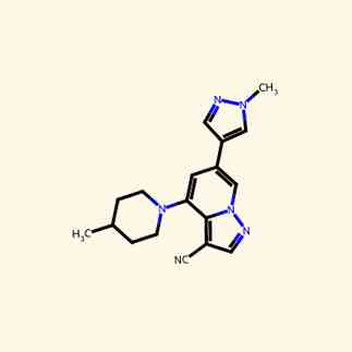 CC1CCN(c2cc(-c3cnn(C)c3)cn3ncc(C#N)c23)CC1